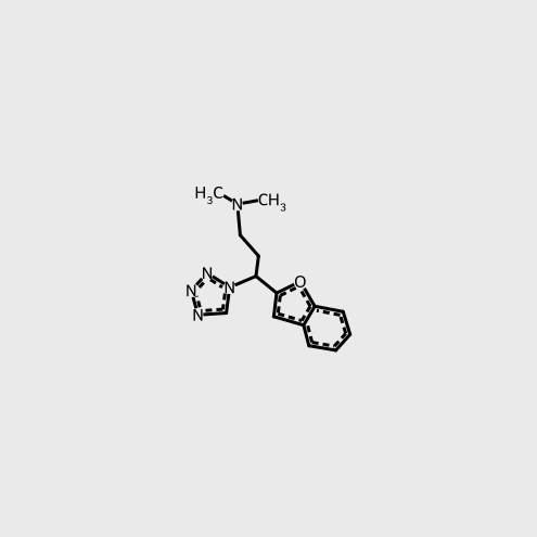 CN(C)CCC(c1cc2ccccc2o1)n1cnnn1